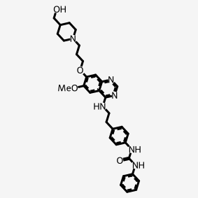 COc1cc2c(NCCc3ccc(NC(=O)Nc4ccccc4)cc3)ncnc2cc1OCCCN1CCC(CO)CC1